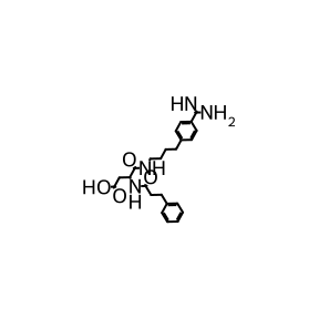 N=C(N)c1ccc(CCCCNC(=O)C(CC(=O)O)NC(=O)CCc2ccccc2)cc1